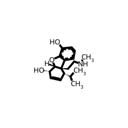 CNCC[C@]12c3cccc(O)c3O[C@H]1[C@@H](O)C=C[C@H]2C(C)C